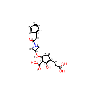 O=C(O)c1c(OC2CN(C(=O)Cc3cc#ccc3)C2)ccc(CCB(O)O)c1O